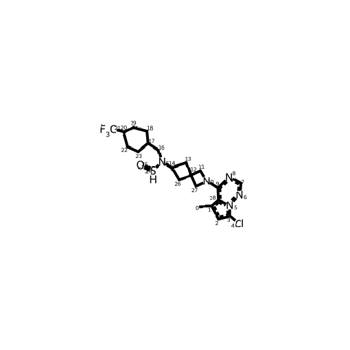 Cc1cc(Cl)n2ncnc(N3CC4(CC(N(CC5CCC(C(F)(F)F)CC5)[SH]=O)C4)C3)c12